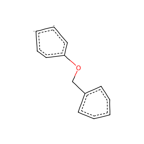 [c]1[c]cc(OCc2ccccc2)cc1